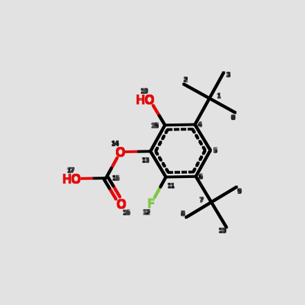 CC(C)(C)c1cc(C(C)(C)C)c(F)c(OC(=O)O)c1O